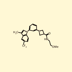 COCCNC(=O)C1CN(c2cccc(-n3cc(C)c4cc(C(F)(F)F)ccc43)c2)C1